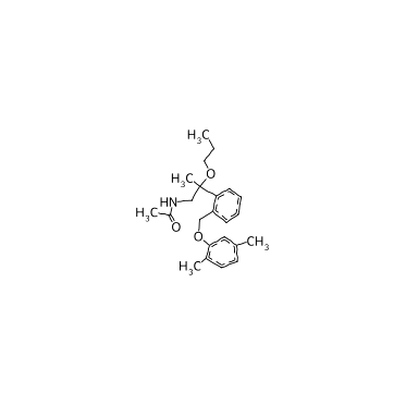 CCCOC(C)(CNC(C)=O)c1ccccc1COc1cc(C)ccc1C